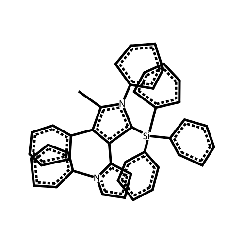 Cc1c(-c2ccccc2)c(-c2cccn2-c2ccccc2)c([Si](c2ccccc2)(c2ccccc2)c2ccccc2)n1-c1ccccc1